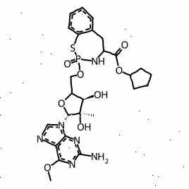 COc1nc(N)nc2c1ncn2[C@@H]1OC(COP2(=O)NC(C(=O)OC3CCCC3)Cc3ccccc3S2)[C@@H](O)[C@@]1(C)O